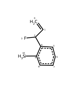 C=CC(F)c1ccccc1[SiH3]